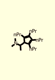 CCCC1=C(CCC)C(C(C)N(C)C)C(CCC)=C1CCC